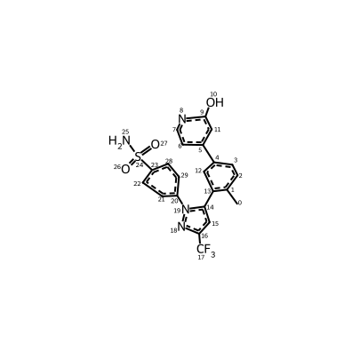 Cc1ccc(-c2ccnc(O)c2)cc1-c1cc(C(F)(F)F)nn1-c1ccc(S(N)(=O)=O)cc1